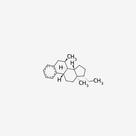 CC[C@H]1CC[C@H]2[C@@H]3[C@H](C)Cc4ccccc4[C@H]3CC[C@]12C